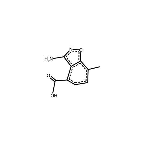 Cc1ccc(C(=O)O)c2c(N)noc12